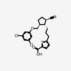 N#C[C@@H]1CC[C@H](COc2cc(Cl)cc(Cl)c2)[C@H]1CCCc1ccc(C(=O)O)s1